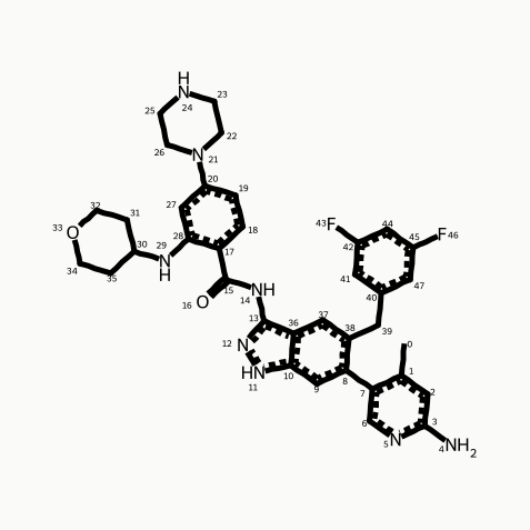 Cc1cc(N)ncc1-c1cc2[nH]nc(NC(=O)c3ccc(N4CCNCC4)cc3NC3CCOCC3)c2cc1Cc1cc(F)cc(F)c1